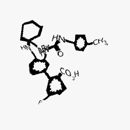 CCCCC1(Nc2ccc(-c3cc(F)ccc3C(=O)O)cc2NC(=O)Nc2ccc(C)cc2)CCCCC1